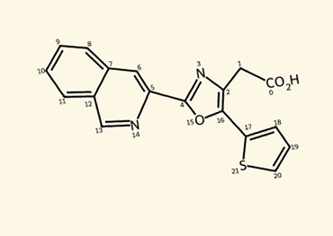 O=C(O)Cc1nc(-c2cc3ccccc3cn2)oc1-c1cccs1